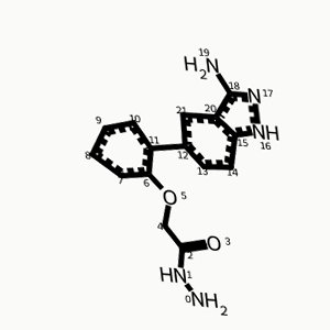 NNC(=O)COc1ccccc1-c1ccc2[nH]nc(N)c2c1